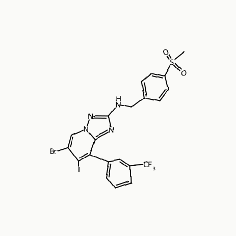 Cc1c(Br)cn2nc(NCc3ccc(S(C)(=O)=O)cc3)nc2c1-c1cccc(C(F)(F)F)c1